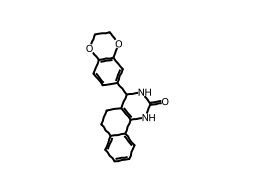 O=C1NC2=C(CCc3ccccc32)C(c2ccc3c(c2)OCCO3)N1